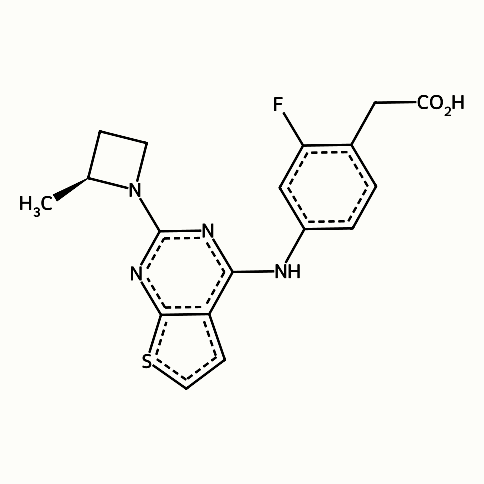 C[C@H]1CCN1c1nc(Nc2ccc(CC(=O)O)c(F)c2)c2ccsc2n1